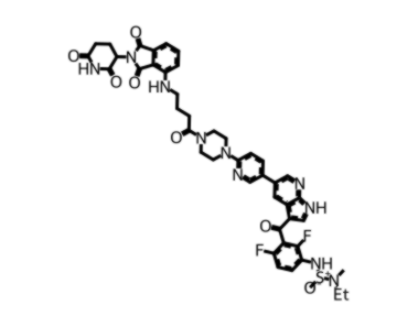 CCN(C)[S+]([O-])Nc1ccc(F)c(C(=O)c2c[nH]c3ncc(-c4ccc(N5CCN(C(=O)CCCNc6cccc7c6C(=O)N(C6CCC(=O)NC6=O)C7=O)CC5)nc4)cc23)c1F